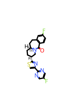 O=C1c2ccc(F)cc2CC[C@@H]2CC[C@@H](c3nc(-c4ncc(F)cn4)cs3)CN12